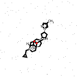 Cc1cnn([C@@H]2CC[C@@H](N3CC[C@]45CCN(CC6CC6)[C@H](Cc6ccc(O)cc64)[C@]5(O)CC3)C2)c1